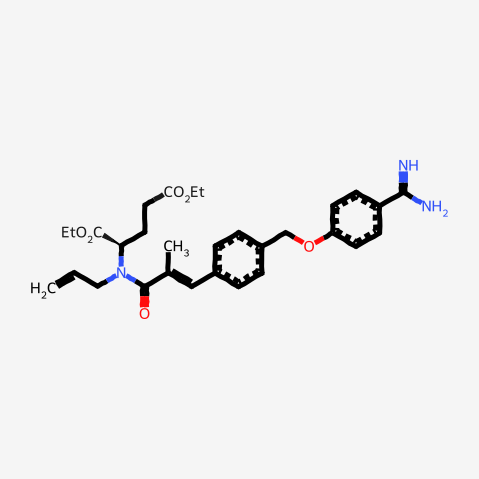 C=CCN(C(=O)/C(C)=C/c1ccc(COc2ccc(C(=N)N)cc2)cc1)[C@H](CCC(=O)OCC)C(=O)OCC